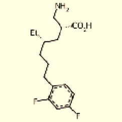 CC[C@@H](CCCc1ccc(F)cc1F)C[C@H](CN)C(=O)O